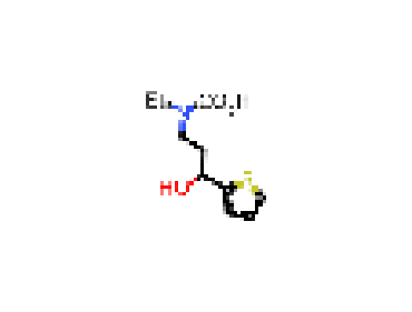 CCN(CCC(O)c1cccs1)C(=O)O